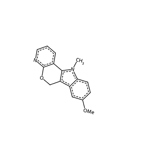 COc1ccc2c(c1)c1c(n2C)-c2cccnc2OC1